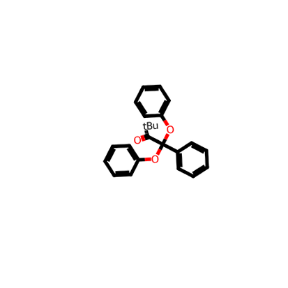 CC(C)(C)C(=O)C(Oc1ccccc1)(Oc1ccccc1)c1ccccc1